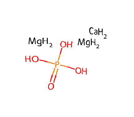 O=P(O)(O)O.[CaH2].[MgH2].[MgH2]